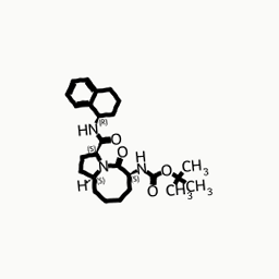 CC(C)(C)OC(=O)N[C@H]1CCCC[C@H]2CC[C@@H](C(=O)N[C@@H]3CCCc4ccccc43)N2C1=O